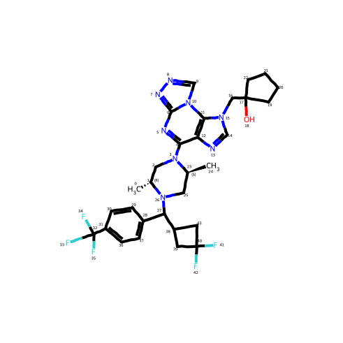 C[C@@H]1CN(c2nc3nncn3c3c2ncn3CC2(O)CCCC2)[C@@H](C)CN1C(c1ccc(C(F)(F)F)cc1)C1CC(F)(F)C1